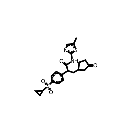 Cc1cnc(NC(=O)C(CC2CCC(=O)C2)c2ccc(S(=O)(=O)C3CC3)cc2)s1